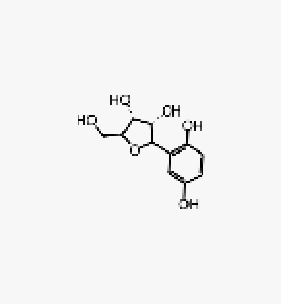 OC[C@@H]1OC(c2cc(O)ccc2O)[C@@H](O)[C@H]1O